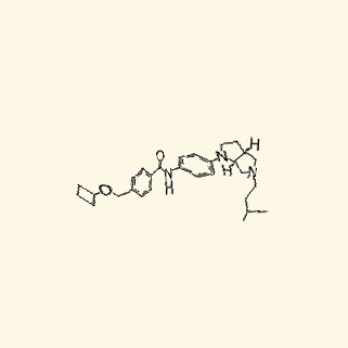 CC(C)CCN1C[C@H]2CCN(c3ccc(NC(=O)c4ccc(COC5CCC5)cc4)cc3)[C@H]2C1